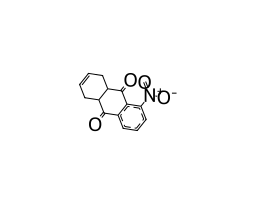 O=C1c2cccc([N+](=O)[O-])c2C(=O)C2CC=CCC12